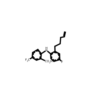 C=CCCCc1cc(F)ccc1Nc1ccc(C(F)(F)F)cc1C(=O)O